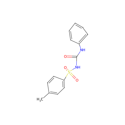 Cc1ccc(S(=O)(=O)NC(=O)Nc2c[c]ccc2)cc1